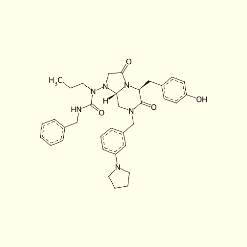 CCCN(C(=O)NCc1ccccc1)N1CC(=O)N2[C@@H](Cc3ccc(O)cc3)C(=O)N(Cc3cccc(N4CCCC4)c3)C[C@@H]21